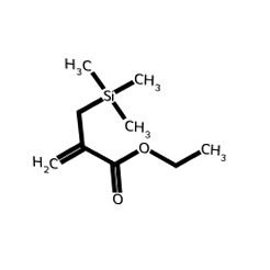 C=C(C[Si](C)(C)C)C(=O)OCC